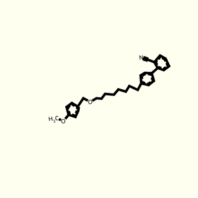 COc1ccc(COCCCCCCCCc2ccc(-c3ccccc3C#N)cc2)cc1